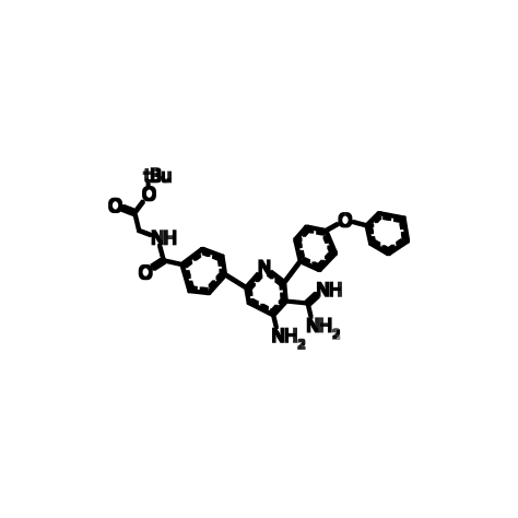 CC(C)(C)OC(=O)CNC(=O)c1ccc(-c2cc(N)c(C(=N)N)c(-c3ccc(Oc4ccccc4)cc3)n2)cc1